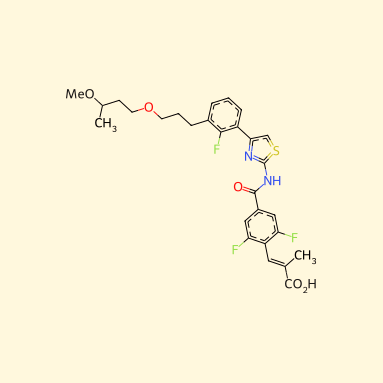 COC(C)CCOCCCc1cccc(-c2csc(NC(=O)c3cc(F)c(C=C(C)C(=O)O)c(F)c3)n2)c1F